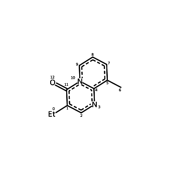 CCc1cnc2c(C)cccn2c1=O